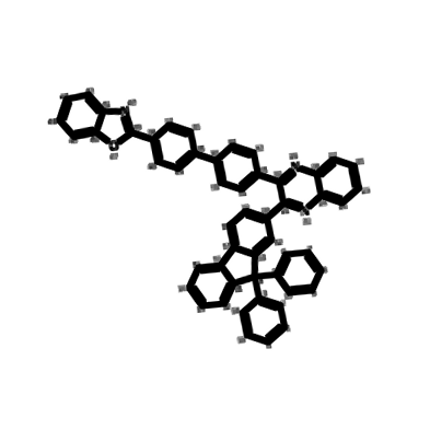 c1ccc(C2(c3ccccc3)c3ccccc3-c3ccc(-c4nc5ccccc5nc4-c4ccc(-c5ccc(-c6nc7ccccc7o6)cc5)cc4)cc32)cc1